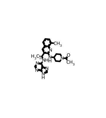 CC(=O)N1CCC(Nc2nc3c(C)cccc3cc2[C@H](C)Nc2ncnc3[nH]cnc23)CC1